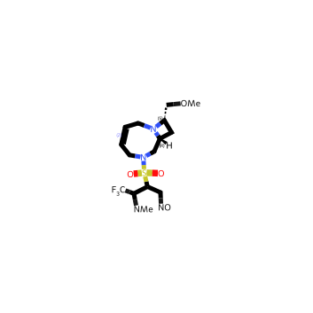 CNC(C(CN=O)S(=O)(=O)N1C/C=C\CN2[C@H](COC)C[C@@H]2C1)C(F)(F)F